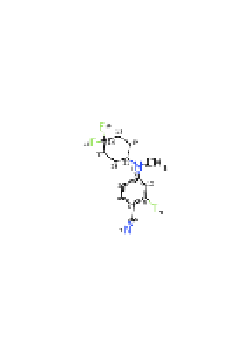 CN(c1ccc(C#N)c(F)c1)C1CCC(F)(F)CC1